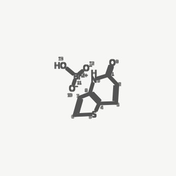 O=c1ccc2sccc2[nH]1.[O-][Br+2]([O-])O